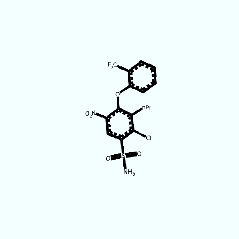 CCCc1c(Cl)c(S(N)(=O)=O)cc([N+](=O)[O-])c1Oc1ccccc1C(F)(F)F